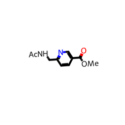 COC(=O)c1ccc(CNC(C)=O)nc1